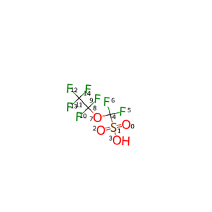 O=S(=O)(O)C(F)(F)OC(F)(F)C(F)(F)F